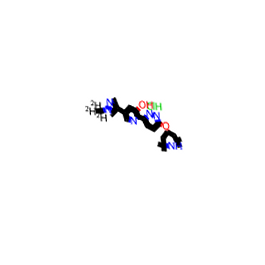 Cl.[2H]C([2H])([2H])n1cc(-c2cnc(-c3ccc(OC4CC(C)(C)NC(C)(C)C4)nn3)c(O)c2)cn1